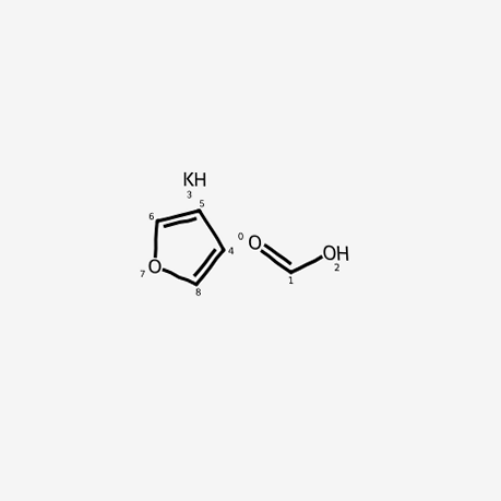 O=CO.[KH].c1ccoc1